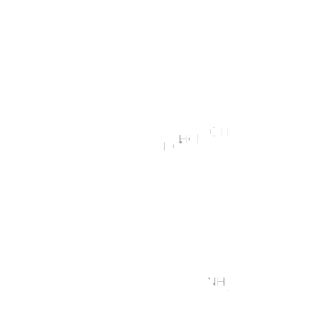 CCCCCCCCCCCCN.Cl.Cl.Cl